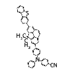 CC1(C)c2cc(-c3ccc(N(c4ccccc4)c4ccc(C#N)cc4)cc3)cc3ccc4cc(-c5ccc6c(c5)sc5ccccc56)cc1c4c23